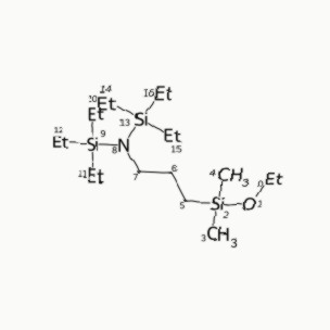 CCO[Si](C)(C)CCCN([Si](CC)(CC)CC)[Si](CC)(CC)CC